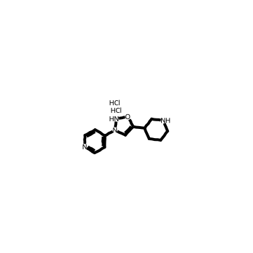 C1=C(C2CCCNC2)ONN1c1ccncc1.Cl.Cl